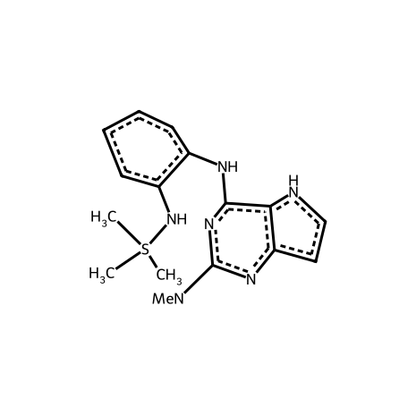 CNc1nc(Nc2ccccc2NS(C)(C)C)c2[nH]ccc2n1